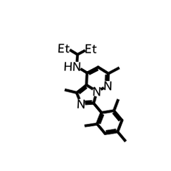 CCC(CC)Nc1cc(C)nn2c(-c3c(C)cc(C)cc3C)nc(C)c12